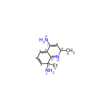 CCC1(N)C=CC=C2C(N)=CC(C)N=C21